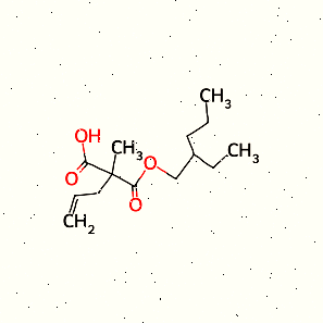 C=CCC(C)(C(=O)O)C(=O)OCC(CC)CCC